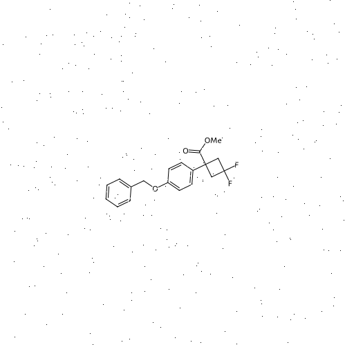 COC(=O)C1(c2ccc(OCc3ccccc3)cc2)CC(F)(F)C1